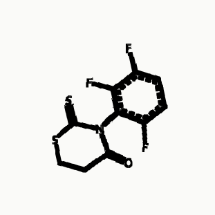 O=C1CCSC(=S)N1c1c(F)ccc(F)c1F